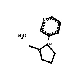 CN1CCC[C@H]1c1cccnc1.O.[Zn]